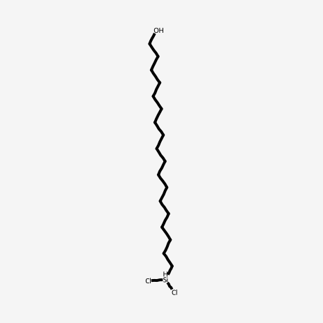 OCCCCCCCCCCCCCCCCCC[SiH](Cl)Cl